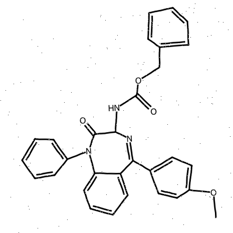 COc1ccc(C2=NC(NC(=O)OCc3ccccc3)C(=O)N(c3ccccc3)c3ccccc32)cc1